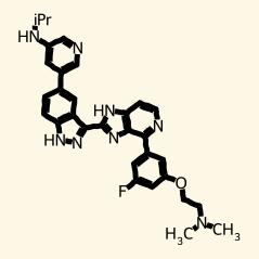 CC(C)Nc1cncc(-c2ccc3[nH]nc(-c4nc5c(-c6cc(F)cc(OCCN(C)C)c6)nccc5[nH]4)c3c2)c1